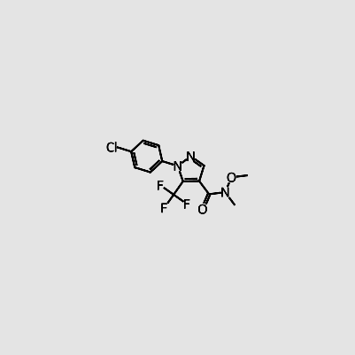 CON(C)C(=O)c1cnn(-c2ccc(Cl)cc2)c1C(F)(F)F